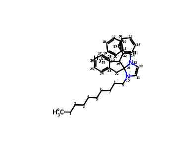 CCCCCCCCCCN1C=CN(Cc2ccccc2)C1(Cc1ccccc1)C(CC)c1ccccc1